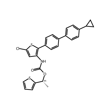 C[C@@H](OC(=O)Nc1cc(Cl)sc1-c1ccc(-c2ccc(C3CC3)cc2)cc1)c1cccs1